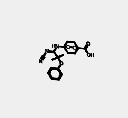 CC(C)(Oc1ccccc1)/C(=N\C#N)NC12CCC(C(=O)O)(CC1)CC2